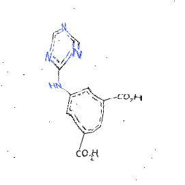 O=C(O)c1cc(Nc2ncncn2)cc(C(=O)O)c1